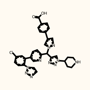 O=C(O)c1ccc(-c2cnn(C(c3ccc(-c4cc(Cl)ccc4-n4ccnn4)cn3)c3cn(C4CCNCC4)nn3)c2)cc1